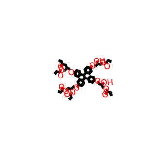 C=CC(=O)CC(COC(=O)C=C)COc1ccc(C(c2ccc(OCC(O)COC(=O)C=C)cc2)C(c2ccc(OCC(O)COC(=O)C=C)cc2)c2ccc(OCC(COC(=O)C=C)OC(=O)C=C)cc2)cc1